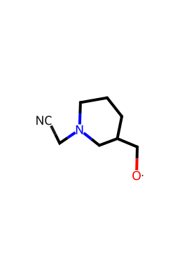 N#CCN1CCCC(C[O])C1